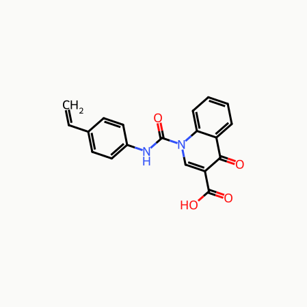 C=Cc1ccc(NC(=O)n2cc(C(=O)O)c(=O)c3ccccc32)cc1